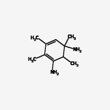 CC1=CC(C)(N)C(C)C(N)=C1C